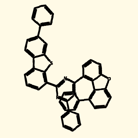 c1ccc(-c2ccc3c(c2)sc2c(-c4nc(-c5ccccc5)nc(-c5cccc6oc7cccc(-c8ccccc8)c7c56)n4)cccc23)cc1